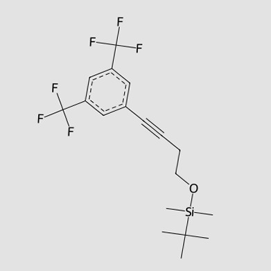 CC(C)(C)[Si](C)(C)OCCC#Cc1cc(C(F)(F)F)cc(C(F)(F)F)c1